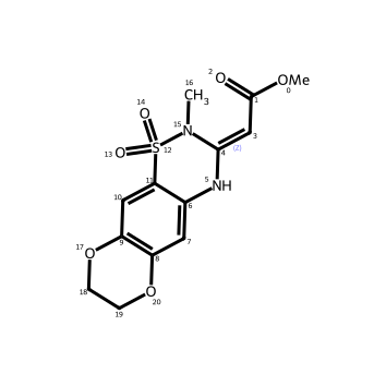 COC(=O)/C=C1/Nc2cc3c(cc2S(=O)(=O)N1C)OCCO3